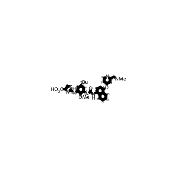 CNCc1cc(Oc2ccc(NC(=O)Nc3cc(C(C)(C)C)cc(Nc4nc(C(=O)O)cs4)c3OC)c3ccccc23)ccn1